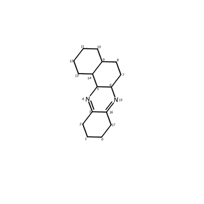 C1CCC2=NC3C(CCC4CCCCC43)N=C2C1